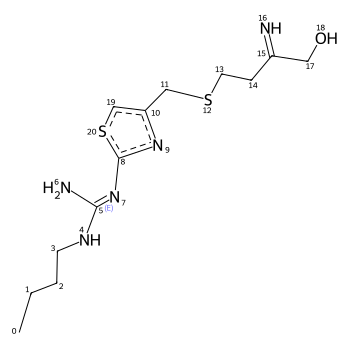 CCCCN/C(N)=N/c1nc(CSCCC(=N)CO)cs1